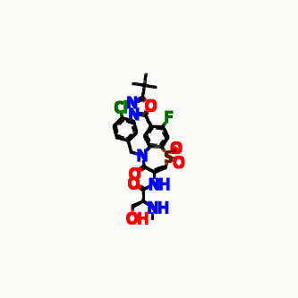 CN[C@@H](CO)C(=O)NC1=CS(=O)(=O)c2cc(F)c(-c3nnc(C(C)(C)C)o3)cc2N(Cc2ccc(Cl)cc2)C1=O